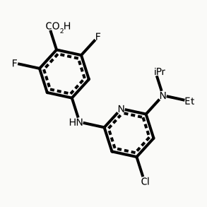 CCN(c1cc(Cl)cc(Nc2cc(F)c(C(=O)O)c(F)c2)n1)C(C)C